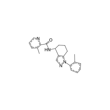 Cc1ccccc1-n1ncc2c1CCCC2NC(=O)c1ncccc1C